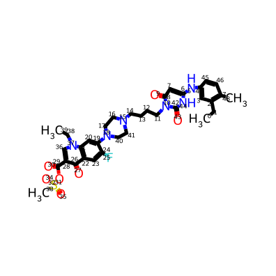 CCc1cc(Nc2cc(=O)n(CCCCN3CCN(c4cc5c(cc4F)c(=O)c(C(=O)OS(C)(=O)=O)cn5CC)CC3)c(=O)[nH]2)ccc1C